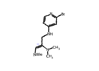 CN/C=C(/CNc1ccnc(Br)c1)N(C)C